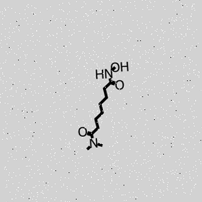 CN(C)C(=O)CCCCCCC(=O)NO